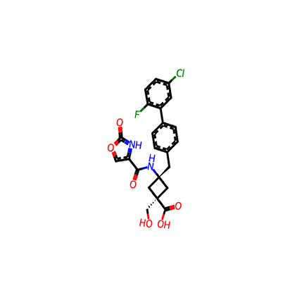 O=C(N[C@]1(Cc2ccc(-c3cc(Cl)ccc3F)cc2)C[C@@](CO)(C(=O)O)C1)c1coc(=O)[nH]1